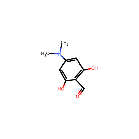 CN(C)c1cc(O)c(C=O)c(O)c1